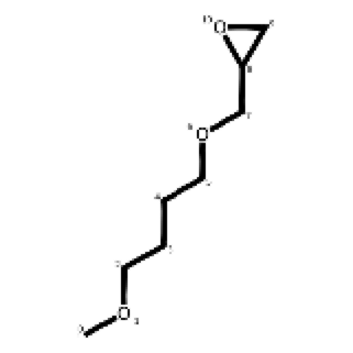 [CH2]OCCCCOCC1CO1